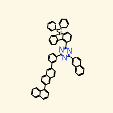 c1ccc([Si]2(c3ccccc3)c3ccccc3-c3c(-c4nc(-c5cccc(-c6ccc7cc(-c8cccc9ccccc89)ccc7c6)c5)nc(-c5ccc6ccccc6c5)n4)cccc32)cc1